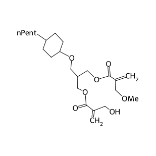 C=C(CO)C(=O)OCC(COC(=O)C(=C)COC)COC1CCC(CCCCC)CC1